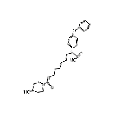 O=C(OCCCCCCN(C(=O)O)c1ccc(Oc2ccccc2)cc1)N1CCC(O)CC1